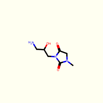 CN1CC(=O)N(CC(O)CN)C1=O